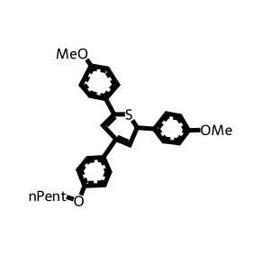 CCCCCOc1ccc(C2=CC(c3ccc(OC)cc3)SC(c3ccc(OC)cc3)=C2)cc1